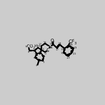 Cc1ccc2c(c1)C(CC(=O)O)CC21CCN(C(=O)/C=C/c2ccccc2C(F)(F)F)CC1